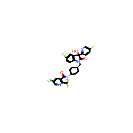 O=C(N[C@H]1CC[C@H](CN2C(=O)C(O)(c3ccc(F)cn3)c3cc(F)ccc32)CC1)c1cc(Cl)cnc1C(F)F